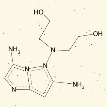 Nc1cc2ncc(N)n2n1N(CCO)CCO